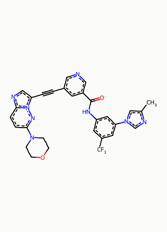 Cc1cn(-c2cc(NC(=O)c3cncc(C#Cc4cnc5ccc(N6CCOCC6)nn45)c3)cc(C(F)(F)F)c2)cn1